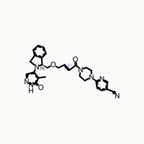 Cc1c(N2Cc3ccccc3[C@H]2COC/C=C/C(=O)N2CCN(c3ccc(C#N)cn3)CC2)cn[nH]c1=O